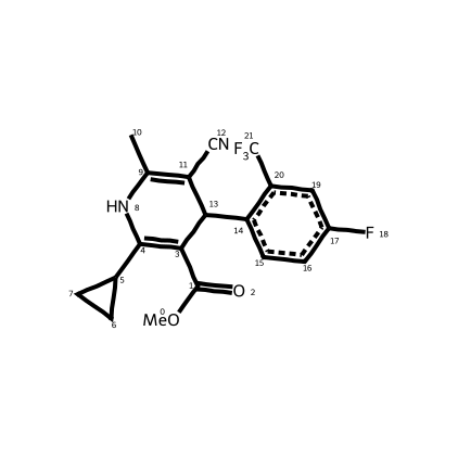 COC(=O)C1=C(C2CC2)NC(C)=C(C#N)C1c1ccc(F)cc1C(F)(F)F